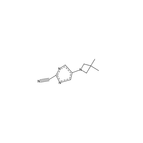 CC1(C)CN(c2cnc(C#N)nc2)C1